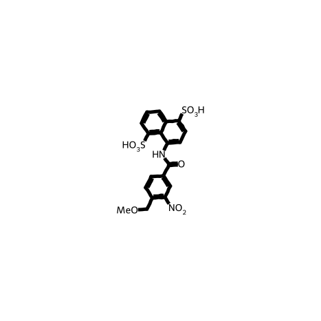 COCc1ccc(C(=O)Nc2ccc(S(=O)(=O)O)c3cccc(S(=O)(=O)O)c23)cc1[N+](=O)[O-]